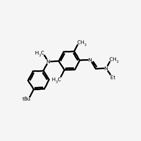 CCN(C)C=Nc1cc(C)c(N(C)c2ccc(C(C)(C)C)cc2)cc1C